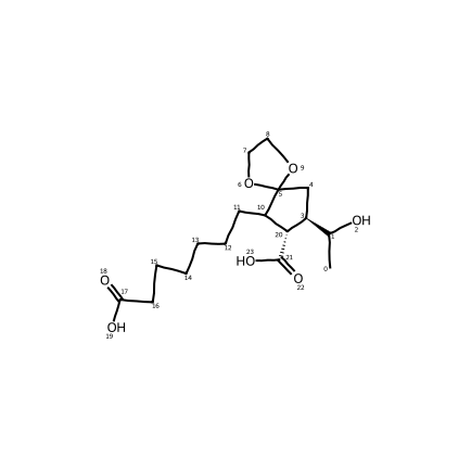 CC(O)[C@@H]1CC2(OCCO2)C(CCCCCCC(=O)O)[C@H]1C(=O)O